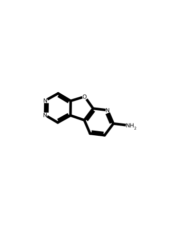 Nc1ccc2c(n1)oc1cnncc12